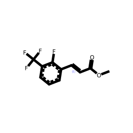 COC(=O)/C=C/c1cccc(C(F)(F)F)c1F